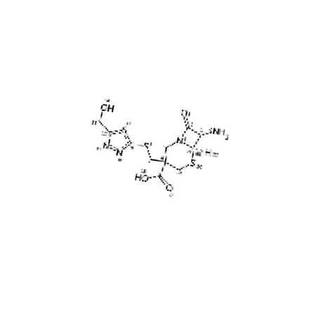 NC1C(=O)N2CC(CSc3nnc(CO)s3)(C(=O)O)CS[C@H]12